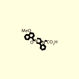 COc1ccc(C(=O)N2CCc3c(c4ccccc4n3CC(=O)O)C2)c2ccccc12